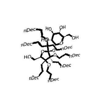 CCCCCCCCCCCCOC(CCCCCCCCCCCC)(CCCCCCCCCCCC)[C@@]1(O[C@H]2O[C@H](CO)[C@@H](O)[C@H](O)[C@H]2O)O[C@H](CO)[C@@](CCCCCCCCCCCC)(OCCCCCCCCCCCC)[C@]1(CCCCCCCCCCCC)OCCCCCCCCCCCC